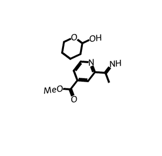 COC(=O)c1ccnc(C(C)=N)c1.OC1CCCCO1